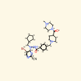 CN1CCN(C(=O)C2CCN(Cc3ccc(C(=O)NN(CC4CCCC4)c4nc(C#N)ncc4Br)cc3)CC2)CC1